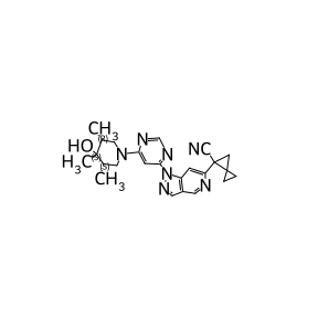 C[C@@H]1CN(c2cc(-n3ncc4cnc(C5(C#N)CC56CC6)cc43)ncn2)C[C@H](C)[C@]1(C)O